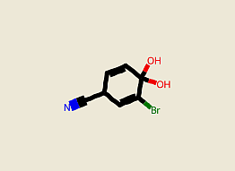 N#CC1C=CC(O)(O)C(Br)=C1